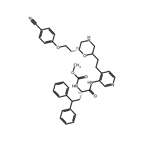 COC(=O)N[C@@H](CC(c1ccccc1)c1ccccc1)C(=O)Nc1cnccc1CCC1CNC[C@@H](CCOc2ccc(C#N)cc2)O1